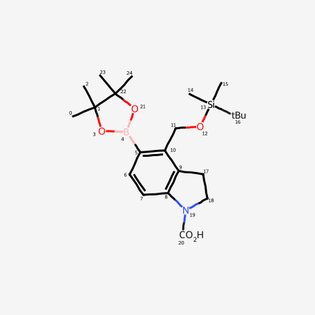 CC1(C)OB(c2ccc3c(c2CO[Si](C)(C)C(C)(C)C)CCN3C(=O)O)OC1(C)C